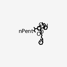 CCCCCC(C)C(C)c1cc(OC(=O)CCCN2CCCCC2)c2c(c1)OC(C)(C)C1=C2C2CCN1CC2